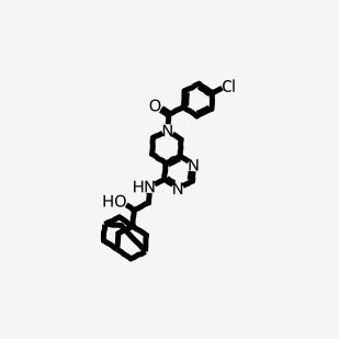 O=C(c1ccc(Cl)cc1)N1CCc2c(ncnc2NCC(O)C23CC4CC(CC(C4)C2)C3)C1